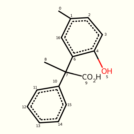 Cc1ccc(O)c(C(C)(C(=O)O)c2ccccc2)c1